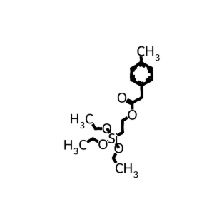 CCO[Si](CCOC(=O)Cc1ccc(C)cc1)(OCC)OCC